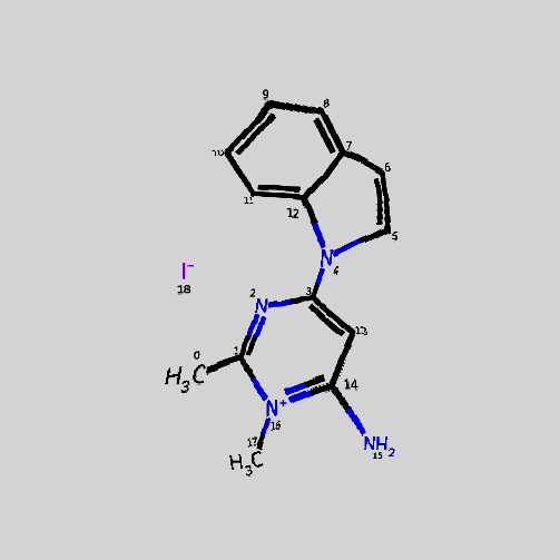 Cc1nc(-n2ccc3ccccc32)cc(N)[n+]1C.[I-]